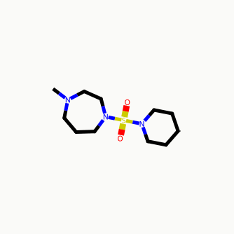 CN1CCCN(S(=O)(=O)N2CC[CH]CC2)CC1